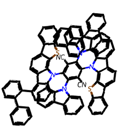 N#Cc1c(-n2c3ccccc3c3ccccc32)c(-n2c3cccc(-c4ccccc4-c4ccccc4)c3c3ccc4c5ccccc5sc4c32)c(C#N)c(-n2c3ccccc3c3ccccc32)c1-n1c2cc(-c3ccccc3-c3cccc4ccccc34)ccc2c2ccc3c4ccccc4sc3c21